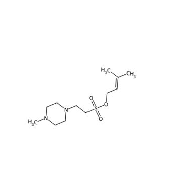 CC(C)=CCOS(=O)(=O)CCN1CCN(C)CC1